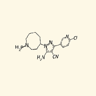 N#Cc1c(-c2ccc(Cl)nc2)nn(C2CCCCN(P)CC2)c1N